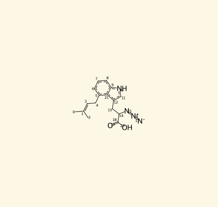 CC(C)=CCc1cccc2[nH]cc(CC(N=[N+]=[N-])C(=O)O)c12